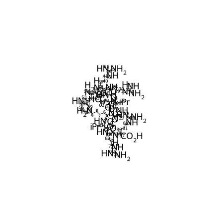 CC(C)[C@H](NC(=O)[C@H](CCCCN)NC(=O)[C@H](C)NC(=O)[C@@H](NC(=O)[C@@H](NC(=O)[C@H](CCCNC(=N)N)NC(=O)[C@H](CCCNC(=N)N)NC(=O)[C@@H](N)Cc1c[nH]c2ccccc12)[C@@H](C)O)C(C)C)C(=O)N[C@@H](CCCNC(=N)N)C(=O)N[C@@H](CCCNC(=N)N)C(=O)O